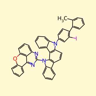 Cc1ccccc1-c1ccc(-n2c3ccccc3c3c2ccc2c4ccccc4n(-c4nc5c6c(cccc6n4)Oc4ccccc4-5)c23)cc1I